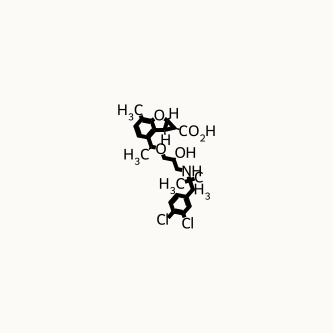 Cc1ccc([C@@H](C)OC[C@H](O)CNC(C)(C)Cc2ccc(Cl)c(Cl)c2)c2c1O[C@H]1[C@H](C(=O)O)[C@@H]21